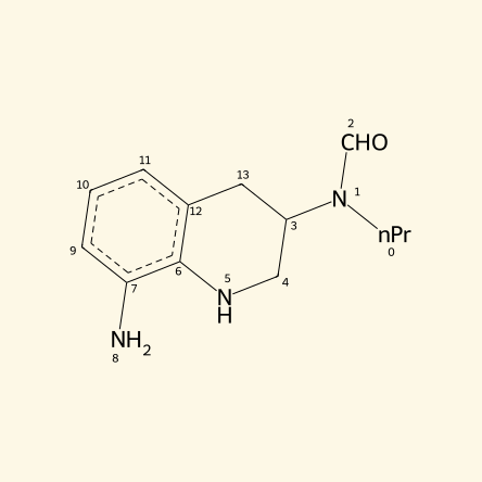 CCCN(C=O)C1CNc2c(N)cccc2C1